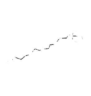 COCCOCCOCCOCCS[Si](C)(C)C